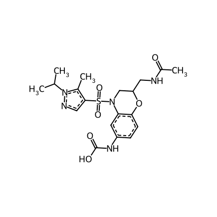 CC(=O)NCC1CN(S(=O)(=O)c2cnn(C(C)C)c2C)c2cc(NC(=O)O)ccc2O1